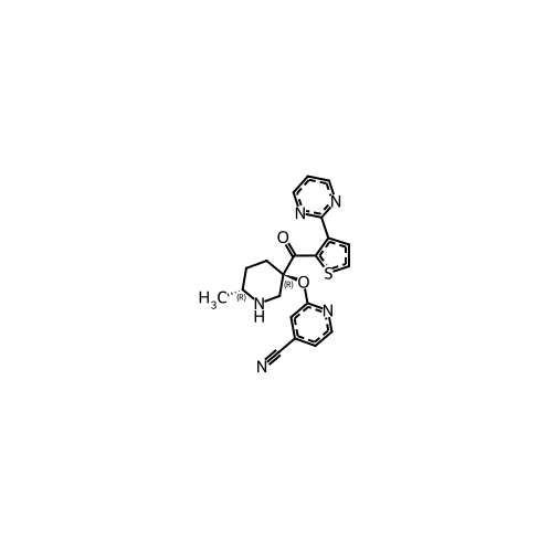 C[C@@H]1CC[C@](Oc2cc(C#N)ccn2)(C(=O)c2sccc2-c2ncccn2)CN1